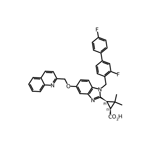 CC1(C)[C@H](c2nc3cc(OCc4ccc5ccccc5n4)ccc3n2Cc2ccc(-c3ccc(F)cc3)cc2F)[C@@H]1C(=O)O